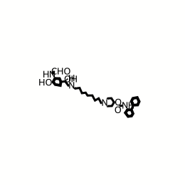 O=CNc1cc([C@@H](O)CNCCCCCCCCCN2CCC(OC(=O)Nc3ccccc3-c3ccccc3)CC2)ccc1O